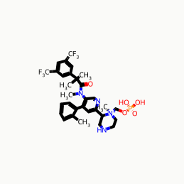 Cc1ccccc1-c1cc(C2CNCC[N+]2(C)COP(=O)(O)O)ncc1N(C)C(=O)C(C)(C)c1cc(C(F)(F)F)cc(C(F)(F)F)c1